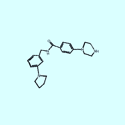 O=C(NCc1cccc(N2CCCC2)c1)c1ccc(N2CCNCC2)cc1